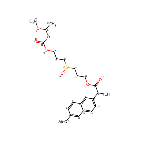 COc1ccc2cc(C(C)C(=O)OCCC[S+]([O-])CCCOC(=O)OC(C)O[N+](=O)[O-])ccc2c1